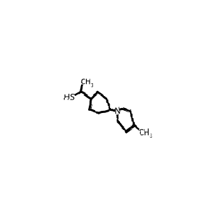 CC1CCN(C2CCC(C(C)S)CC2)CC1